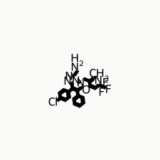 Cc1nc(C(F)(F)F)ccc1Cn1c(=O)c(-c2ccccc2)c(-c2ccc(Cl)cc2)c2nnc(CN)n21